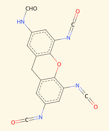 O=C=Nc1cc2c(c(N=C=O)c1)Oc1c(cc(NC=O)cc1N=C=O)C2